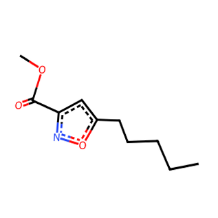 CCCCCc1cc(C(=O)OC)no1